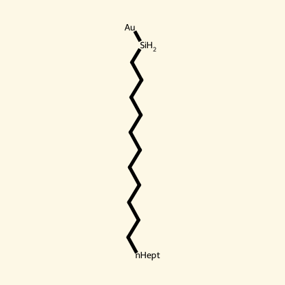 CCCCCCCCCCCCCCCCCC[SiH2][Au]